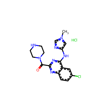 Cl.Cn1cnc(Nc2nc(C(=O)N3CCNCC3)nc3ccc(Cl)cc23)c1